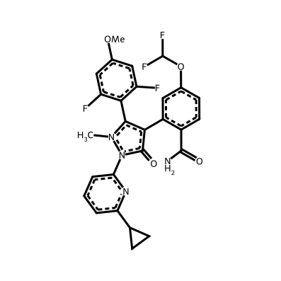 COc1cc(F)c(-c2c(-c3cc(OC(F)F)ccc3C(N)=O)c(=O)n(-c3cccc(C4CC4)n3)n2C)c(F)c1